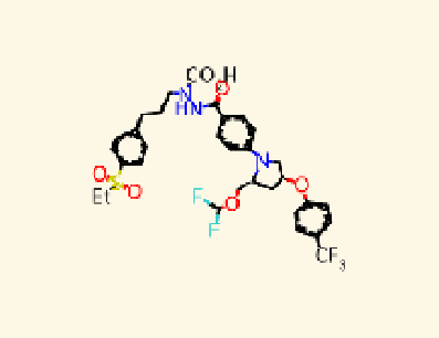 CCS(=O)(=O)c1ccc(CCCN(NC(=O)c2ccc(N3C[C@@H](Oc4ccc(C(F)(F)F)cc4)C[C@H]3COC(F)F)cc2)C(=O)O)cc1